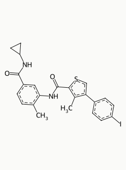 Cc1ccc(C(=O)NC2CC2)cc1NC(=O)c1scc(-c2ccc(I)cc2)c1C